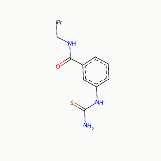 CC(C)CNC(=O)c1cccc(NC(N)=S)c1